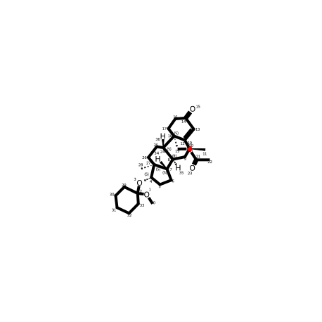 COC1(O[C@H]2CC[C@H]3[C@@H]4C[C@H](C)C5=CC(=O)CC[C@]5(COC(C)=O)[C@H]4CC[C@]23C)CCCCC1